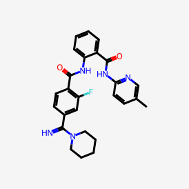 Cc1ccc(NC(=O)c2ccccc2NC(=O)c2ccc(C(=N)N3CCCCC3)cc2F)nc1